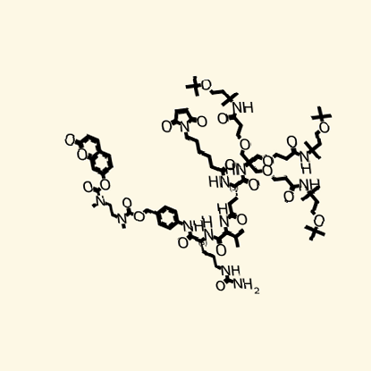 CC(C)C(NC(=O)CC[C@H](NC(=O)CCCCCN1C(=O)C=CC1=O)C(=O)NC(COCCC(=O)NC(C)(C)CCOC(C)(C)C)(COCCC(=O)NC(C)(C)CCOC(C)(C)C)COCCC(=O)NC(C)(C)CCOC(C)(C)C)C(=O)N[C@@H](CCCNC(N)=O)C(=O)Nc1ccc(COC(=O)N(C)CCN(C)C(=O)Oc2ccc3ccc(=O)oc3c2)cc1